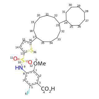 COc1cc(C(=O)O)c(F)cc1NS(=O)(=O)c1ccc(C2CCCCCC(C3CCCCCCC3)CCCC2)s1